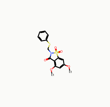 CCOc1cc(OCC)c2c(c1)S(=O)(=O)N(CSc1ccccc1)C2=O